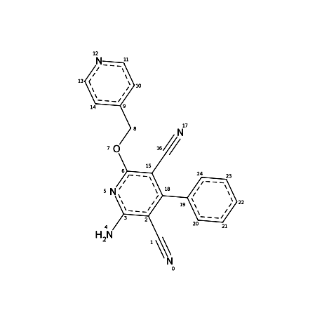 N#Cc1c(N)nc(OCc2ccncc2)c(C#N)c1-c1ccccc1